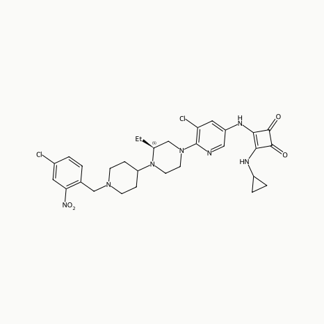 CC[C@H]1CN(c2ncc(Nc3c(NC4CC4)c(=O)c3=O)cc2Cl)CCN1C1CCN(Cc2ccc(Cl)cc2[N+](=O)[O-])CC1